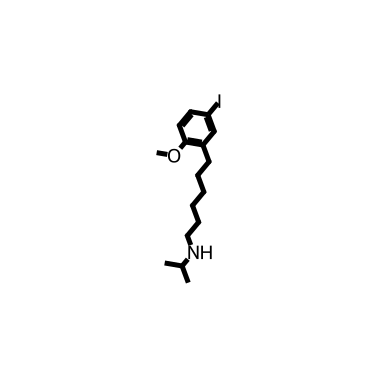 COc1ccc(I)cc1CCCCCCNC(C)C